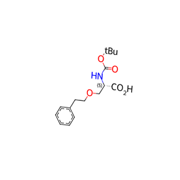 CC(C)(C)OC(=O)N[C@@H](COCCc1ccccc1)C(=O)O